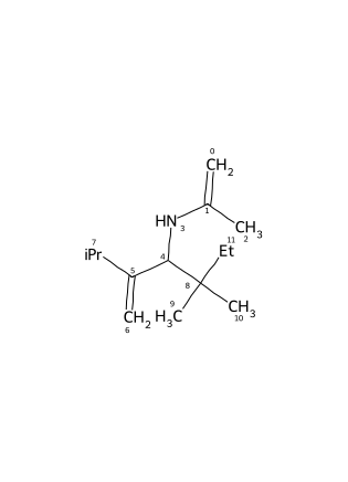 C=C(C)NC(C(=C)C(C)C)C(C)(C)CC